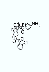 CCOC(=O)n1nc2c(c1NC(=O)c1ccc(N)cc1)CN(C(=O)N(Cl)c1ccccc1Cl)C2(C)C